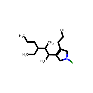 CCCC1=C(C(C)C(C)C(CC)CCC)CN(F)C1